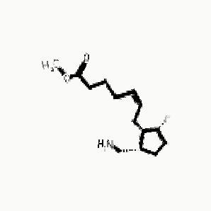 COC(=O)CCC/C=C\C[C@@H]1[C@@H](CN)CC[C@H]1F